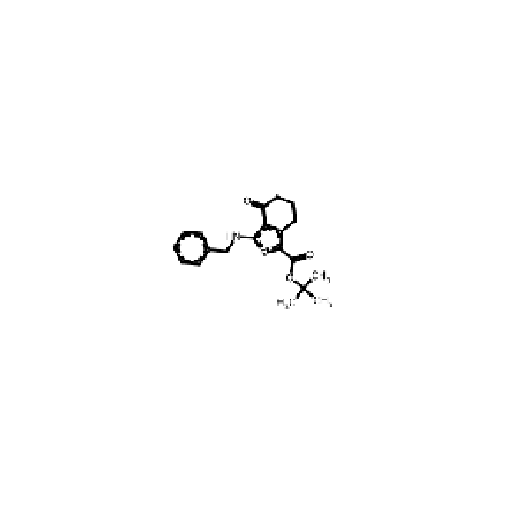 CC(C)(C)OC(=O)c1sc(NCc2ccccc2)c2c1CCCC2=O